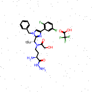 CC(C)(C)[C@H](c1nc(-c2cc(F)ccc2F)cn1Cc1ccccc1)N(CC[C@H](N)C(=O)NN)C(=O)CO.O=C(O)C(F)(F)F